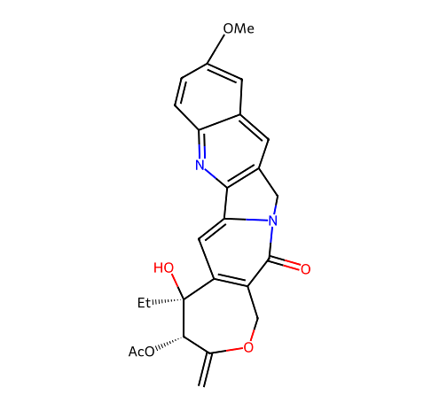 C=C1OCc2c(cc3n(c2=O)Cc2cc4cc(OC)ccc4nc2-3)[C@@](O)(CC)[C@H]1OC(C)=O